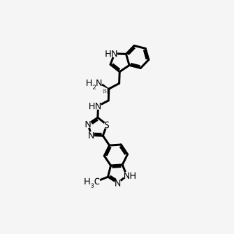 Cc1n[nH]c2ccc(-c3nnc(NC[C@@H](N)Cc4c[nH]c5ccccc45)s3)cc12